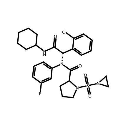 O=C(NC1CCCCC1)[C@H](c1ccccc1Cl)N(C(=O)C1CCCN1S(=O)(=O)N1CC1)c1cccc(F)c1